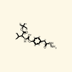 CC(C)C(NC(=O)Oc1ccc(CC(=O)NN)cc1)C(=O)OC(C)(C)C